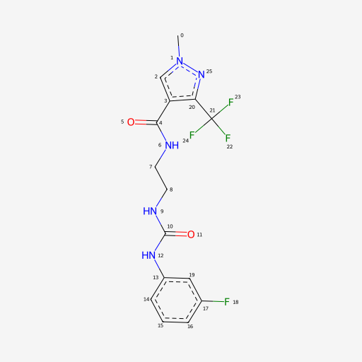 Cn1cc(C(=O)NCCNC(=O)Nc2cccc(F)c2)c(C(F)(F)F)n1